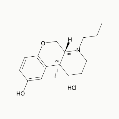 CCCN1CCC[C@@]2(C)c3cc(O)ccc3OC[C@H]12.Cl